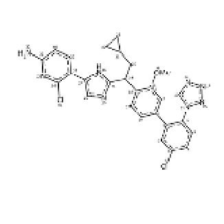 CO[n+]1cc(-c2cc(Cl)ccc2-n2cnnn2)ccc1C(CC1CC1)c1ncc(-c2ccc(N)nc2Cl)[nH]1